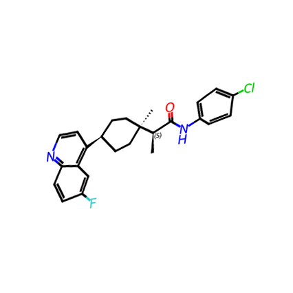 C[C@H](C(=O)Nc1ccc(Cl)cc1)[C@]1(C)CC[C@H](c2ccnc3ccc(F)cc32)CC1